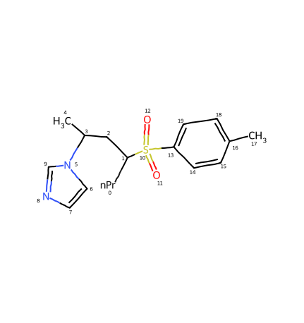 CCCC(CC(C)n1ccnc1)S(=O)(=O)c1ccc(C)cc1